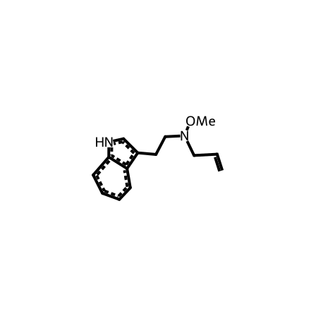 C=CCN(CCc1c[nH]c2ccccc12)OC